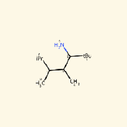 CC(C)C(C)C(C)C(N)C(C)(C)C